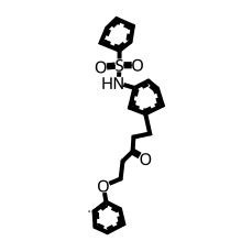 O=C(CCOc1[c]cccc1)CCc1cccc(NS(=O)(=O)c2ccccc2)c1